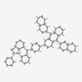 c1ccc(-c2nc3cccc4c3n2-c2ccccc2N4c2ccc(-c3ccc4c(-c5ccc6ccccc6c5)c5ccccc5c(-c5ccc6ccccc6c5)c4c3)cc2)cc1